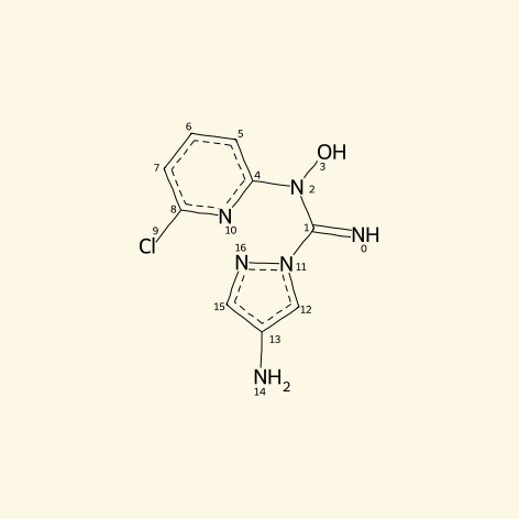 N=C(N(O)c1cccc(Cl)n1)n1cc(N)cn1